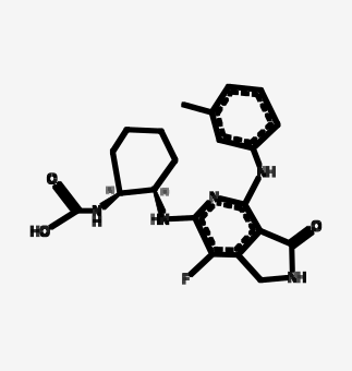 Cc1cccc(Nc2nc(N[C@@H]3CCCC[C@@H]3NC(=O)O)c(F)c3c2C(=O)NC3)c1